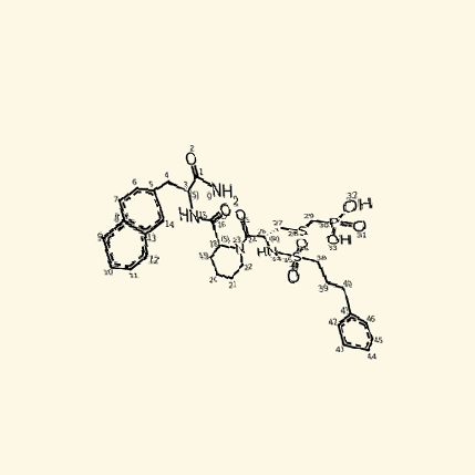 NC(=O)[C@H](Cc1ccc2ccccc2c1)NC(=O)[C@@H]1CCCCN1C(=O)[C@H](CSCP(=O)(O)O)NS(=O)(=O)CCCc1ccccc1